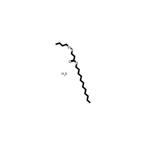 CCCCCCCCCCCCOC(=O)CC[S][Zn][CH2]CCC.S